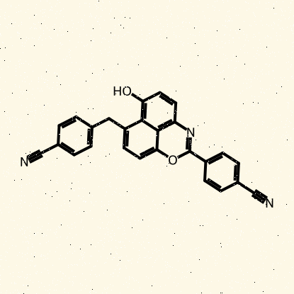 N#Cc1ccc(Cc2ccc3c4c(ccc(O)c24)N=C(c2ccc(C#N)cc2)O3)cc1